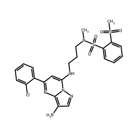 Bc1cnn2c(NCCCN(C)S(=O)(=O)c3ccccc3S(C)(=O)=O)cc(-c3ccccc3Cl)nc12